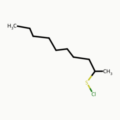 CCCCCCCCC(C)SCl